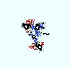 CCCCSc1nc(Nc2cc(N(CC)CC)ccc2/N=N/c2sc3c(c2S(=O)(=O)O)CC(C)(C)CC3=O)nc(Nc2cc(N(CC)CC)ccc2/N=N/c2sc3c(c2S(=O)(=O)O)CC(C)(C)CC3=O)n1